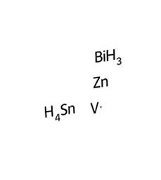 [BiH3].[SnH4].[V].[Zn]